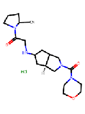 Cl.N#CC1CCCN1C(=O)CNC1CC2CN(C(=O)N3CCOCC3)C[C@H]2C1